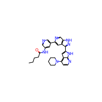 CCCCC(=O)Nc1cncc(-c2cc3c(-c4cc5c(N6CCCCC6)ccnc5[nH]4)n[nH]c3cn2)c1